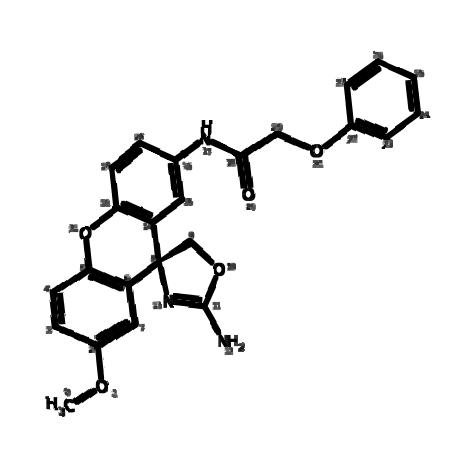 COc1ccc2c(c1)[C@]1(COC(N)=N1)c1cc(NC(=O)COc3ccccc3)ccc1O2